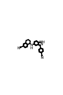 N#Cc1ccc(-c2n[nH]c3ccc(NC4CCCc5cc(C#N)ccc54)cc23)cc1